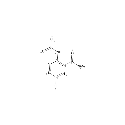 CNC(=O)c1nc(Cl)ncc1NC(=O)C(F)(F)F